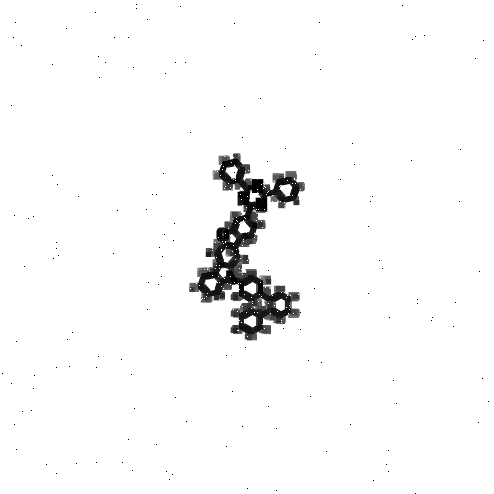 c1ccc(-c2nc(-c3ccccc3)nc(-c3ccc4c(c3)oc3cc5c6ccccc6n(-c6ccc7c8ccccc8c8ccccc8c7c6)c5cc34)n2)cc1